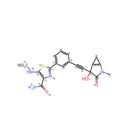 CN1C(=O)C(O)(C#Cc2cccc(-c3nc(C(N)=O)c(NC(=O)O)s3)c2)C2CC21